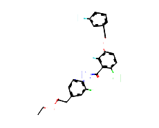 CCOC(=O)Cc1ccc(NC(=O)c2c(Cl)ccc(OCc3cccc(F)c3)c2F)c(Cl)c1